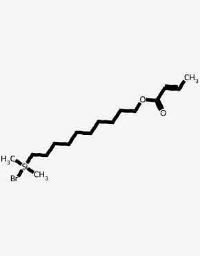 CC=CC(=O)OCCCCCCCCCC[Si](C)(C)Br